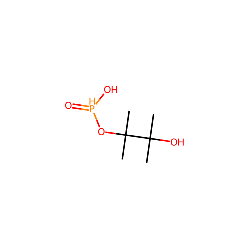 CC(C)(O)C(C)(C)O[PH](=O)O